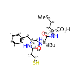 CC[C@H](C)[C@H](NC[C@H](Cc1ccccc1)NC(=O)CCS)C(=O)N[C@@H](CCSC)C(=O)O